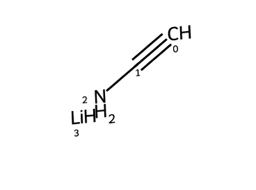 C#CN.[LiH]